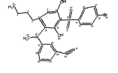 CCCCc1nc(O)c(S(=O)(=O)c2ccc(Br)cc2)c(O)c1N(C)c1cccc(C#N)c1